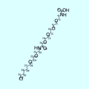 O=C(O)NCCOCCOCCOCCOCC(=O)NCCOCCOCCCCCCCl